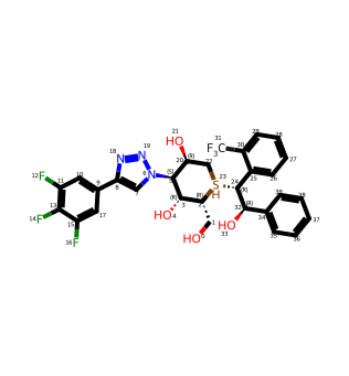 OC[C@@H]1[C@H](O)[C@@H](n2cc(-c3cc(F)c(F)c(F)c3)nn2)[C@@H](O)C[SH]1[C@H](c1ccccc1C(F)(F)F)[C@H](O)c1ccccc1